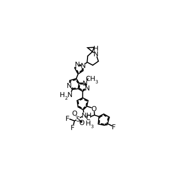 CC(Oc1cc(-c2nn(C)c3c(-c4cnn(C5CCNC6(CC6)C5)c4)cnc(N)c23)ccc1NS(=O)(=O)C(F)F)c1ccc(F)cc1